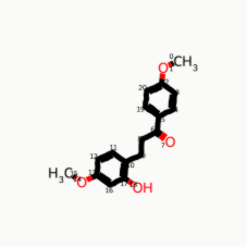 COc1ccc(C(=O)CCc2ccc(OC)cc2O)cc1